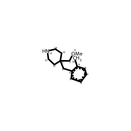 COCC1(Cc2ccccc2C)CCNCC1